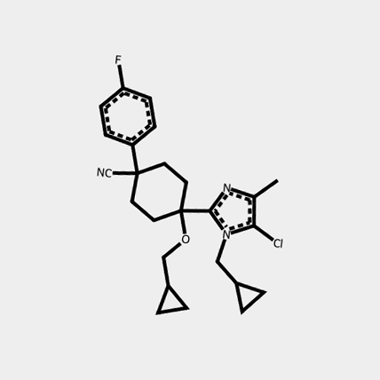 Cc1nc(C2(OCC3CC3)CCC(C#N)(c3ccc(F)cc3)CC2)n(CC2CC2)c1Cl